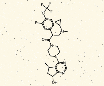 C[C@@H]1C[C@@H](O)c2ncnc(N3CCN(C(=O)[C@@H](C[As](C)C4CC4)c4ccc(OC(F)(F)F)c(F)c4)CC3)c21